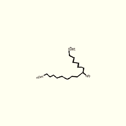 [CH2]CCC(CCCCCCCCCCCCCCCC)CCCCCCCCCCCCCCCCCC